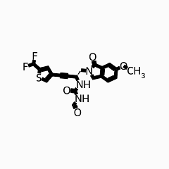 COc1ccc2c(c1)C(=O)N(C[C@@H](C#Cc1csc(C(F)F)c1)NC(=O)NC=O)C2